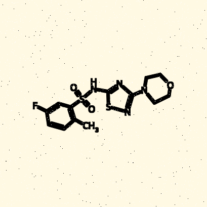 Cc1ccc(F)cc1S(=O)(=O)Nc1nc(N2CCOCC2)ns1